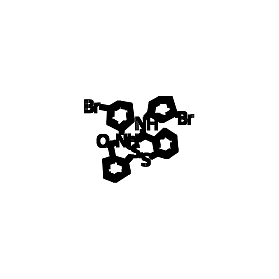 O=C(Nc1cccc(Br)c1)c1ccccc1SSc1ccccc1C(=O)Nc1cccc(Br)c1